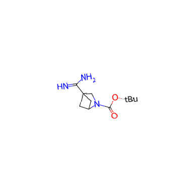 CC(C)(C)OC(=O)N1CC2(C(=N)N)CC1C2